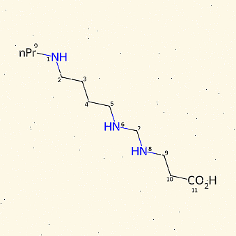 CCCNCCCCNCNCCC(=O)O